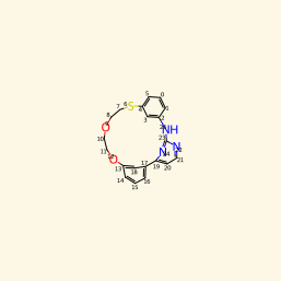 c1cc2cc(c1)SCCOCCOc1cccc(c1)-c1ccnc(n1)N2